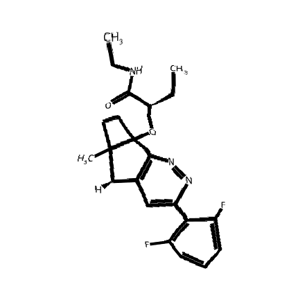 CCNC(=O)[C@@H](CC)OC12CC3[C@@H](c4cc(-c5c(F)cccc5F)nnc41)C32C